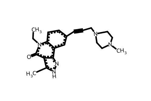 CCn1c(=O)c2c(C)[nH]nc2c2cc(C#CCN3CCN(C)CC3)ccc21